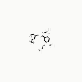 COCCOc1cc2c(NCc3ccnc(C(F)(F)F)c3)nc(C)nc2cc1OC